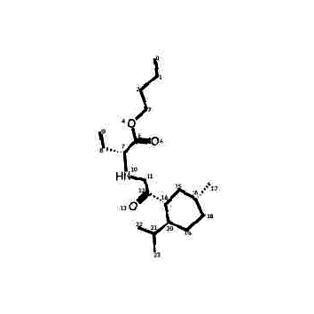 CCCCOC(=O)[C@@H](CC)NCC(=O)[C@@H]1C[C@H](C)CC[C@H]1C(C)C